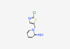 N=c1ccccn1Cc1cnc(Cl)s1